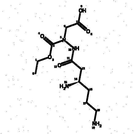 CCOC(=O)N(CC(=O)O)NC(=O)C[C@@H](N)CCCN